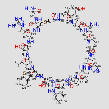 CCCC[C@H]1C(=O)N(C)[C@@H](CO)C(=O)N[C@@H](CCCNC(=N)N)C(=O)NC(C(=O)NCC(N)=O)CSCC(=O)N[C@@H](Cc2ccc(O)cc2)C(=O)N(C)[C@@H](C)C(=O)N[C@@H](CC(N)=O)C(=O)N2CCC[C@H]2C(=O)N[C@@H](Cc2cnc[nH]2)C(=O)N[C@@H](CC(C)C)C(=O)N2CCCC2(C=O)N[C@@H](Cc2c[nH]c3ccccc23)C(=O)N[C@@H](CO)C(=O)N[C@@H](Cc2csc3ccccc23)C(=O)N1C